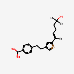 CCC(=CCCC(O)(CC)CC)c1cc(CCc2ccc(C(O)O)cc2)cs1